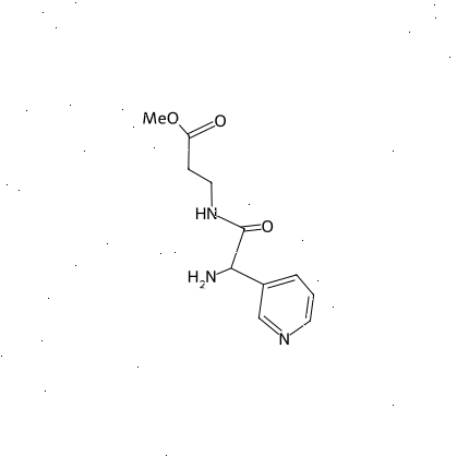 COC(=O)CCNC(=O)C(N)c1cccnc1